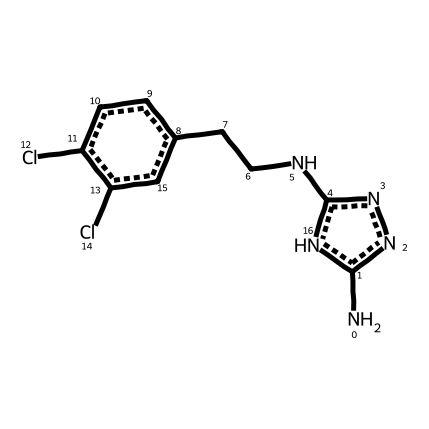 Nc1nnc(NCCc2ccc(Cl)c(Cl)c2)[nH]1